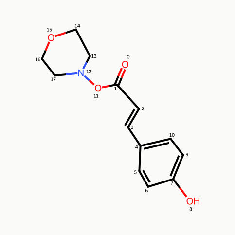 O=C(/C=C/c1ccc(O)cc1)ON1CCOCC1